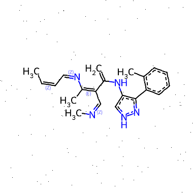 C=C(Nc1c[nH]nc1-c1ccccc1C)C(/C=N\C)=C(C)\N=C/C=C\C